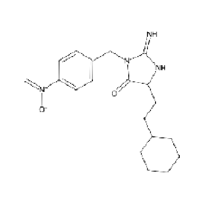 C=[N+]([O-])c1ccc(CN2C(=N)NC(CCC3CCCCC3)C2=O)cc1